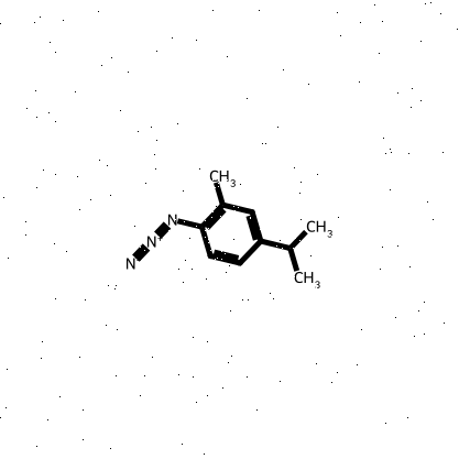 Cc1cc(C(C)C)ccc1N=[N+]=[N-]